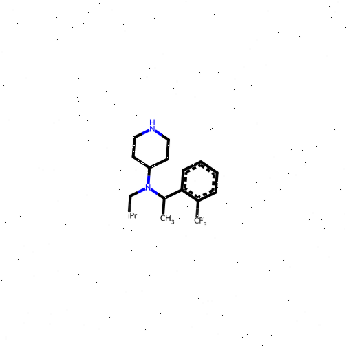 CC(C)CN(C1CCNCC1)C(C)c1ccccc1C(F)(F)F